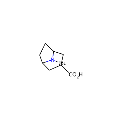 CC(C)(C)N1C2CCC1CC(C(=O)O)C2